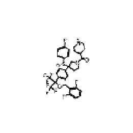 CN1CCC(C(=O)N2CCC(c3ccc(C(OCc4c(F)cccc4F)(C(F)(F)F)C(F)(F)F)cc3)([S+]([O-])c3ccc(F)cc3)C2)CC1